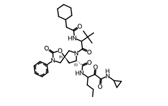 CCCC(NC(=O)[C@@H]1C[C@]2(CN(c3ccccc3)C(=O)O2)CN1C(=O)C(NC(=O)CC1CCCCC1)C(C)(C)C)C(=O)C(=O)NC1CC1